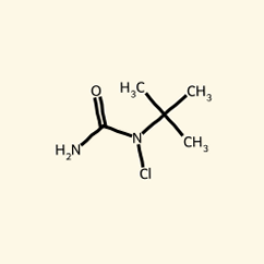 CC(C)(C)N(Cl)C(N)=O